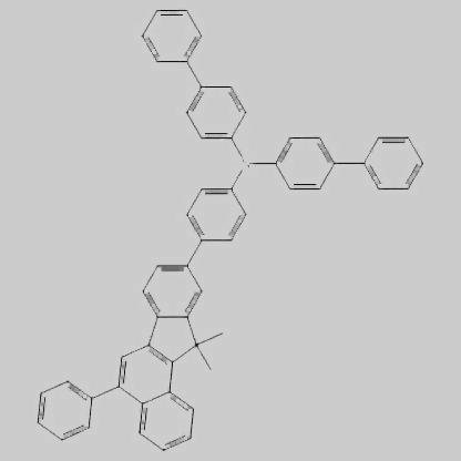 CC1(C)c2cc(-c3ccc(N(c4ccc(-c5ccccc5)cc4)c4ccc(-c5ccccc5)cc4)cc3)ccc2-c2cc(-c3ccccc3)c3ccccc3c21